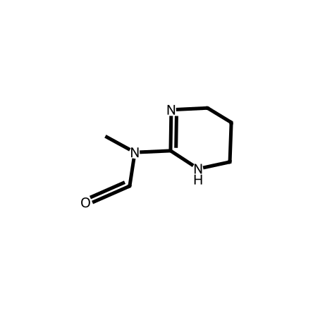 CN(C=O)C1=NCCCN1